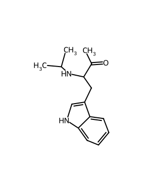 CC(=O)C(Cc1c[nH]c2ccccc12)NC(C)C